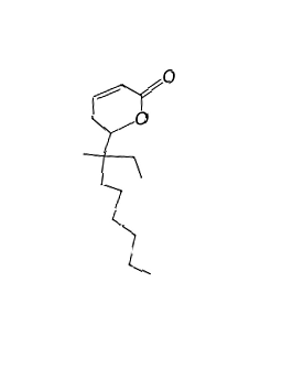 CCCCCCC(C)(CC)C1CC=CC(=O)O1